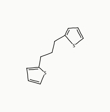 c1csc(CCCc2cccs2)c1